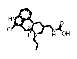 CCCN1CC(CNC(=O)O)CC2c3cccc4[nH]c(Cl)c(c34)C[C@H]21